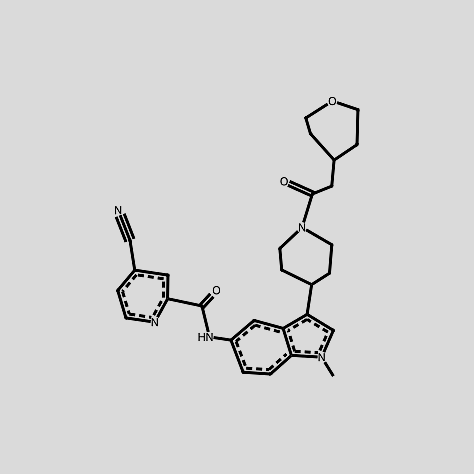 Cn1cc(C2CCN(C(=O)CC3CCOCC3)CC2)c2cc(NC(=O)c3cc(C#N)ccn3)ccc21